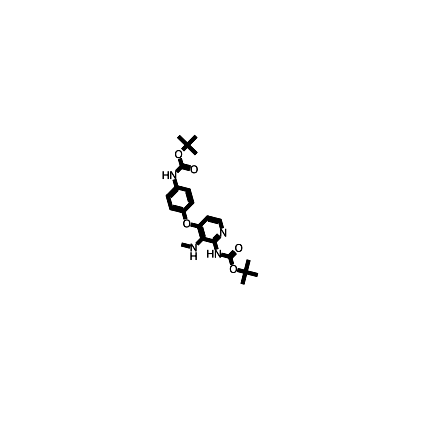 CNc1c(Oc2ccc(NC(=O)OC(C)(C)C)cc2)ccnc1NC(=O)OC(C)(C)C